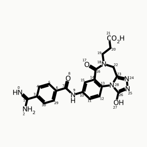 N=C(N)c1ccc(C(=O)Nc2ccc3c(c2)C(=O)N(CCC(=O)O)Cc2nnc(O)n2-3)cc1